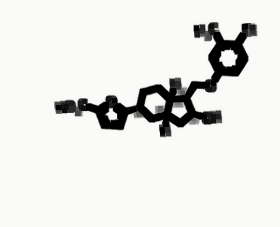 CCc1ccc(OC[C@@H]2[C@H]3CC[C@H](c4ccc(C(=O)O)o4)C[C@H]3C[C@@H]2O)cc1C